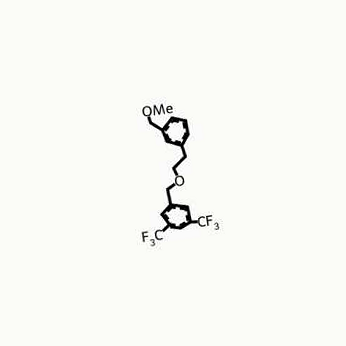 COCc1cccc(CCOCc2cc(C(F)(F)F)cc(C(F)(F)F)c2)c1